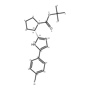 CC(C)(C)OC(=O)N1CCC[C@H]1c1ncc(-c2ccc(F)cc2)[nH]1